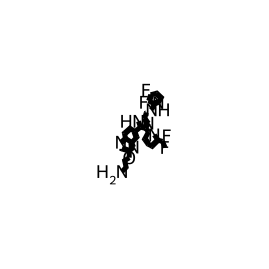 NCCOc1cnc2ccc(-c3[nH]c(CNc4nccc(F)c4F)nc3-c3cccc(C(F)F)n3)cc2n1